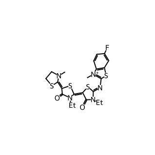 CCN1C(=O)/C(=c2/s/c(=C3/SCCN3C)c(=O)n2CC)S/C1=N\c1sc2cc(F)ccc2[n+]1C